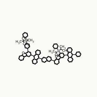 CC(C)[Si](c1ccccc1)(c1cc(-c2c3ccccc3c(-c3ccccc3)c3ccccc23)cc2c1oc1c(-c3ccc4cc(-c5c6ccccc6c(-c6cc(-c7ccc([Si](C)(c8ccccc8)C(C)(C)C)cc7)c7oc8ccccc8c7c6)c6ccccc56)ccc4c3)cccc12)C(C)C